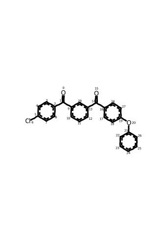 O=C(c1ccc(Cl)cc1)c1cccc(C(=O)c2ccc(Oc3ccccc3)cc2)c1